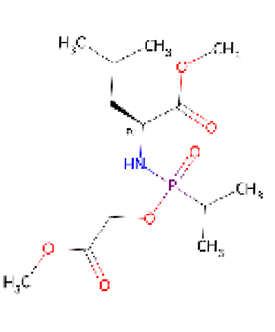 COC(=O)COP(=O)(N[C@@H](CC(C)C)C(=O)OC)C(C)C